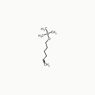 C=CCCCCO[Si](C)(C)C